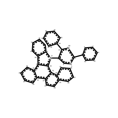 c1ccc(-c2ncc(-n3c4ccccc4c4c5ccccc5c5ccc6ccccc6c5c43)c(-c3ccccc3)n2)cc1